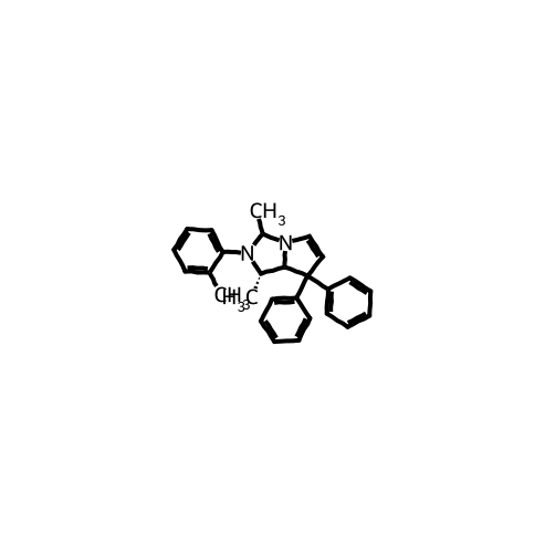 Cc1ccccc1N1C(C)N2C=CC(c3ccccc3)(c3ccccc3)C2[C@@H]1C